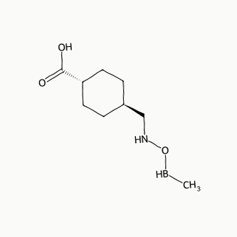 CBONC[C@H]1CC[C@H](C(=O)O)CC1